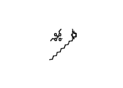 CCCCCCCCCCCC[n+]1ccn(C)c1.CCOP(=O)([O-])OCC